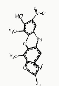 Cc1nc2cc3c(c(C)c2o1)Oc1c(cc([N+](=O)[O-])c(O)c1C)N3